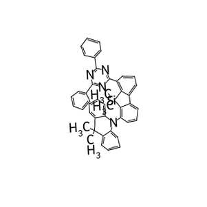 CC1(C)c2ccccc2N(c2cccc3c2[Si](C)(C)c2c(-c4nc(-c5ccccc5)nc(-c5ccccc5)n4)cccc2-3)c2ccccc21